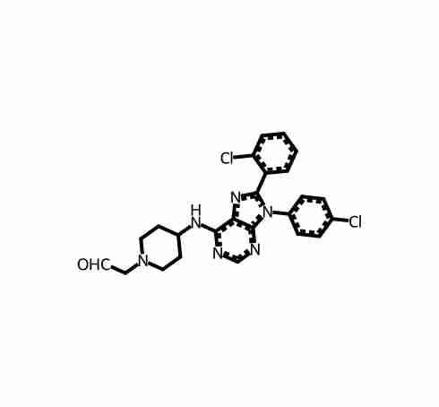 O=CCN1CCC(Nc2ncnc3c2nc(-c2ccccc2Cl)n3-c2ccc(Cl)cc2)CC1